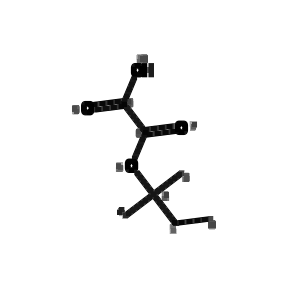 CCC(C)(C)OC(=O)C(=O)O